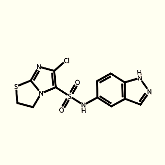 O=S(=O)(Nc1ccc2[nH]ncc2c1)c1c(Cl)nc2n1CCS2